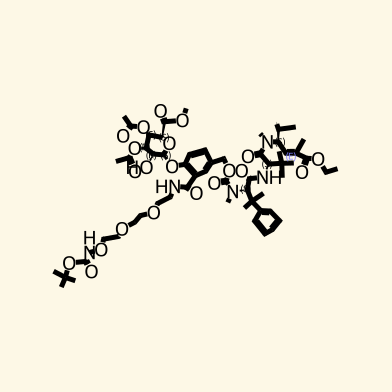 CCOC(=O)/C(C)=C/[C@H](C(C)C)N(C)C(=O)[C@@H](NC(=O)[C@@H](N(C)C(=O)OCc1ccc(O[C@@H]2O[C@H](C(=O)OC)[C@@H](OC(C)=O)[C@H](OC(C)=O)[C@H]2O)c(C(=O)NCCOCCOCCONC(=O)OC(C)(C)C)c1)C(C)(C)c1ccccc1)C(C)(C)C